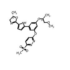 COC[C@H](C)Oc1cc(Oc2ccc(S(C)(=O)=O)nn2)cc(-c2ccc(C3=NC[C@H](C)O3)[nH]2)c1